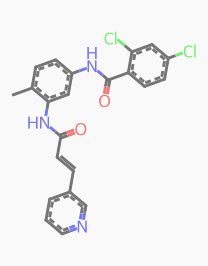 Cc1ccc(NC(=O)c2ccc(Cl)cc2Cl)cc1NC(=O)C=Cc1cccnc1